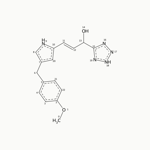 COc1ccc(Cc2c[nH]c(C=CC(O)c3nn[nH]n3)c2)cc1